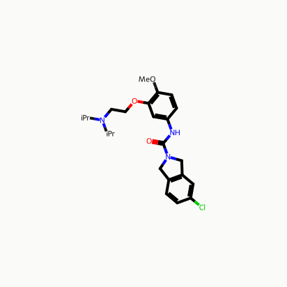 COc1ccc(NC(=O)N2Cc3ccc(Cl)cc3C2)cc1OCCN(C(C)C)C(C)C